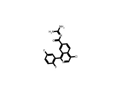 NC(N)=NC(=O)c1ccc2c(Cl)cnc(-c3cc(F)ccc3F)c2c1